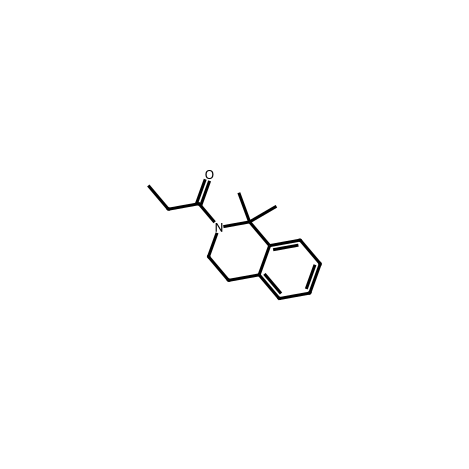 CCC(=O)N1CCc2ccccc2C1(C)C